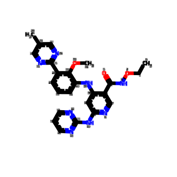 CCONC(=O)c1cnc(Nc2ncccn2)cc1Nc1cccc(-c2ncc(C)cn2)c1OC